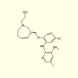 Bc1cc(C)cnc1Nc1cc(Cl)ccc1OC[C@H]1C=CCCN(CCO)C1